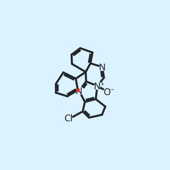 [O-][N+]12C=NC3=CC=CCC3(c3ccccc3)C1=NC1=C2CCC=C1Cl